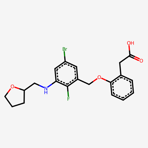 O=C(O)Cc1ccccc1OCc1cc(Br)cc(NCC2CCCO2)c1F